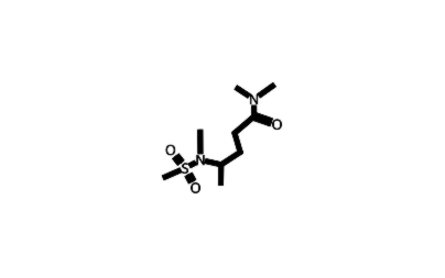 CC(CCC(=O)N(C)C)N(C)S(C)(=O)=O